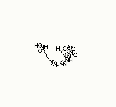 CC(=O)c1c(C)c2cnc(Nc3ccc(CN4CCN(CCCCCCC(=O)NO)CC4)cn3)nc2n(C2CCCC2)c1=O